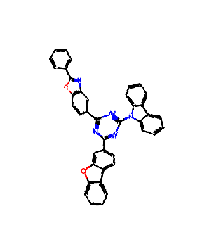 c1ccc(-c2nc3cc(-c4nc(-c5ccc6c(c5)oc5ccccc56)nc(-n5c6ccccc6c6ccccc65)n4)ccc3o2)cc1